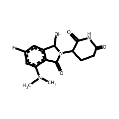 CN(C)c1cc(F)cc2c1C(=O)N(C1CCC(=O)NC1=O)C2O